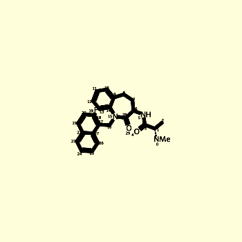 CN[C@@H](C)C(=O)NC1CCc2ccccc2N(Cc2c(F)ccc3ccccc23)C1=O